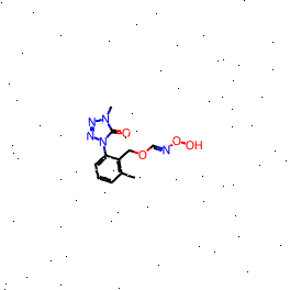 Cc1cccc(-n2nnn(C)c2=O)c1COC=NOO